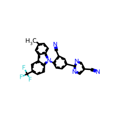 Cc1ccc2c(c1)c1cc(C(F)(F)F)ccc1n2-c1ccc(-c2ncc(C#N)cn2)cc1C#N